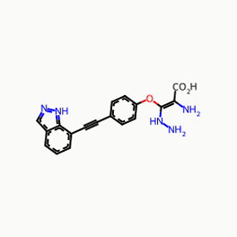 NN/C(Oc1ccc(C#Cc2cccc3cn[nH]c23)cc1)=C(\N)C(=O)O